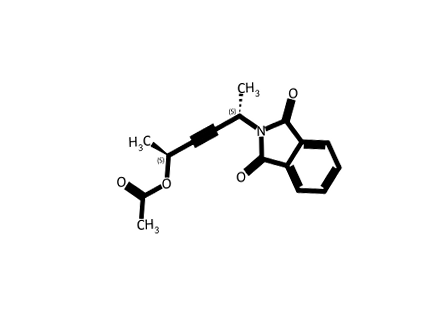 CC(=O)O[C@@H](C)C#C[C@H](C)N1C(=O)c2ccccc2C1=O